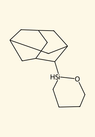 C1CC[SiH](C2C3CC4CC(C3)CC2C4)OC1